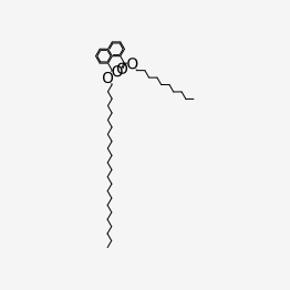 CCCCCCCCCCCCCCCCCCCCCCCCOC(=O)c1cccc2cccc(C(=O)OCCCCCCCCCC)c12